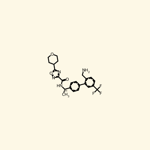 C[C@@H](NC(=O)c1noc(C2CCOCC2)n1)c1ccc(-c2cc(C(F)(F)F)ccc2CN)cc1